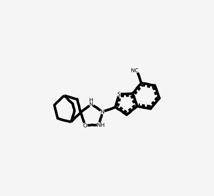 N#Cc1cccc2cc(N3NOC4(CC5CCC4CC5)N3)sc12